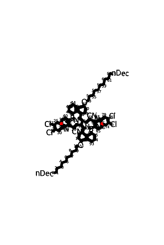 CCCCCCCCCCCCCCCCCCCCOc1ccc(-c2c3/c(=C(\C#N)c4cnc5cc(Cl)c(Cl)cc5n4)n(B(c4ccccc4)c4ccccc4)c(-c4ccc(OCCCCCCCCCCCCCCCCCCCC)cc4)c3/c(=C(\C#N)c3cnc4cc(Cl)c(Cl)cc4n3)n2B(c2ccccc2)c2ccccc2)cc1